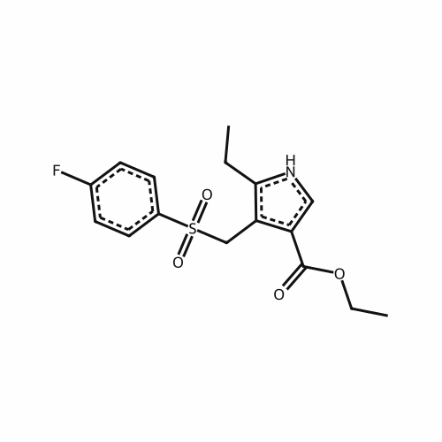 CCOC(=O)c1c[nH]c(CC)c1CS(=O)(=O)c1ccc(F)cc1